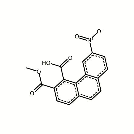 COC(=O)c1ccc2ccc3ccc([N+](=O)[O-])cc3c2c1C(=O)O